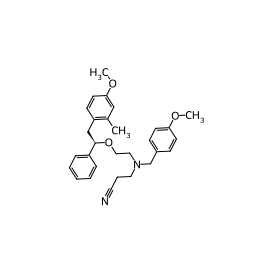 COc1ccc(CN(CCC#N)CCO[C@H](Cc2ccc(OC)cc2C)c2ccccc2)cc1